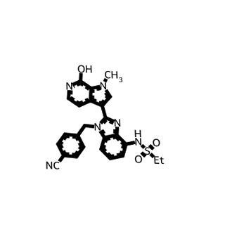 CCS(=O)(=O)Nc1cccc2c1nc(-c1cn(C)c3c(O)nccc13)n2Cc1ccc(C#N)cc1